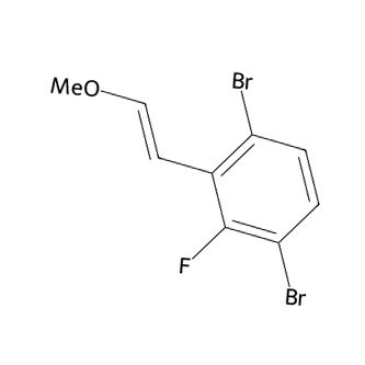 COC=Cc1c(Br)ccc(Br)c1F